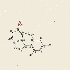 Cc1cc(C)c(C2C=Cc3ccc(Br)c(C)c32)c(C)c1